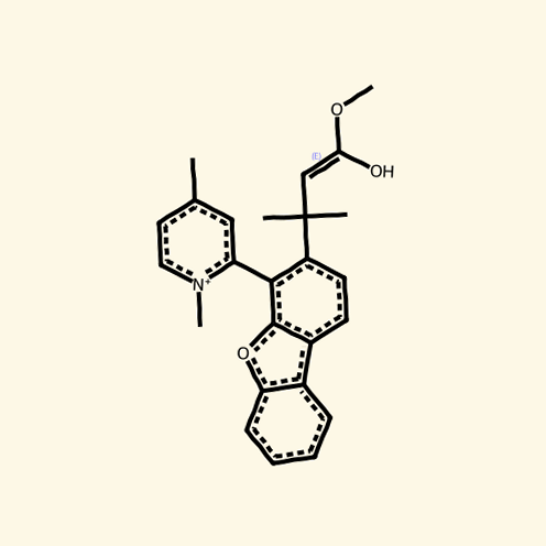 CO/C(O)=C/C(C)(C)c1ccc2c(oc3ccccc32)c1-c1cc(C)cc[n+]1C